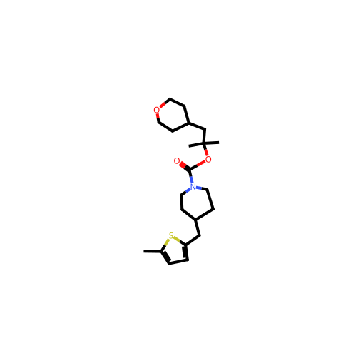 Cc1ccc(CC2CCN(C(=O)OC(C)(C)CC3CCOCC3)CC2)s1